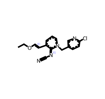 CCO/C=C/c1cccn(Cc2ccc(Cl)nc2)/c1=N/C#N